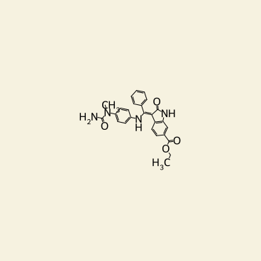 CCOC(=O)c1ccc2c(c1)NC(=O)C2=C(Nc1ccc(N(C)C(N)=O)cc1)c1ccccc1